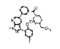 CCN1CCN(C(=O)c2cccc(-c3cnc4[nH]nc(-c5cc(F)ccc5OC)c4c3)c2)CC1